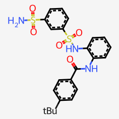 CC(C)(C)c1ccc(C(=O)Nc2ccccc2NS(=O)(=O)c2cccc(S(N)(=O)=O)c2)cc1